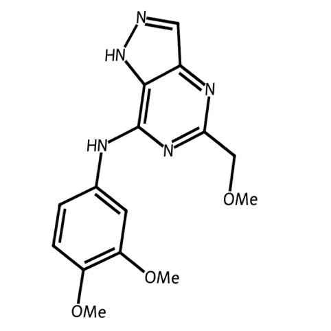 COCc1nc(Nc2ccc(OC)c(OC)c2)c2[nH]ncc2n1